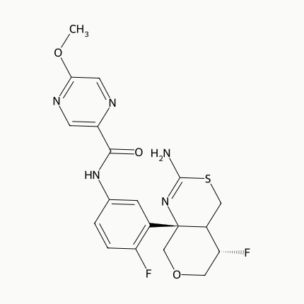 COc1cnc(C(=O)Nc2ccc(F)c([C@]34COC[C@@H](F)C3CSC(N)=N4)c2)cn1